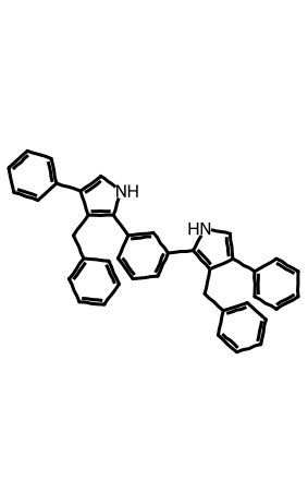 c1ccc(Cc2c(-c3ccccc3)c[nH]c2-c2cccc(-c3[nH]cc(-c4ccccc4)c3Cc3ccccc3)c2)cc1